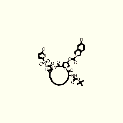 CC(C)(C)OC(=O)NC1CCCCCC=CC2CC2(C(=O)NS(=O)(=O)c2ccc(Cl)s2)NC(=O)C2CC(OC(=O)N3Cc4ccc(Cl)cc4C3)CN2C1=O